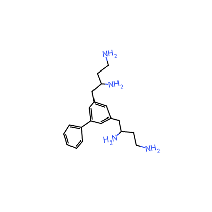 NCCC(N)Cc1cc(CC(N)CCN)cc(-c2ccccc2)c1